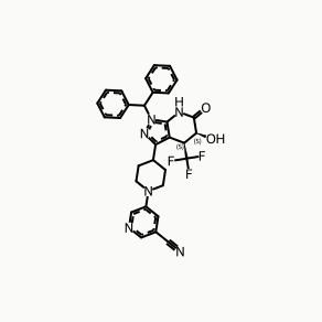 N#Cc1cncc(N2CCC(c3nn(C(c4ccccc4)c4ccccc4)c4c3[C@H](C(F)(F)F)[C@H](O)C(=O)N4)CC2)c1